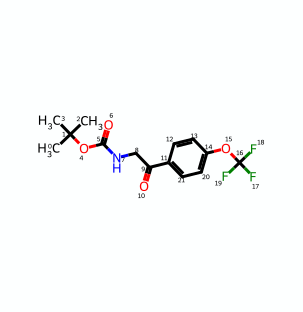 CC(C)(C)OC(=O)NCC(=O)c1ccc(OC(F)(F)F)cc1